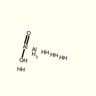 [AlH3].[HH].[HH].[HH].[HH].[O]=[Al][OH]